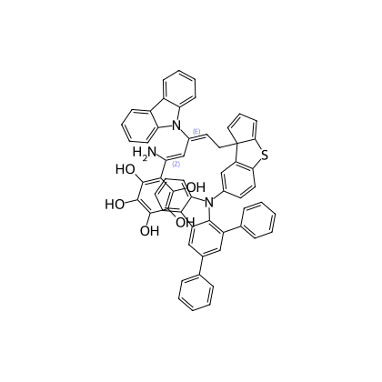 N/C(=C\C(=C/CC12C=CC=C1Sc1ccc(-n3c4ccccc4c4cc(-c5ccccc5)cc(-c5ccccc5)c43)cc12)n1c2ccccc2c2ccccc21)c1c(O)c(O)c(O)c(O)c1O